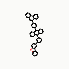 c1cc(-c2ccc3oc4ccccc4c3c2)cc(-c2c3ccccc3c(-c3ccc(-c4cc5ccccc5c5ccccc45)cc3)c3ccccc23)c1